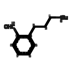 CC(C)(C)CCCc1ccccc1C=O